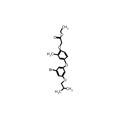 CCOC(=O)COc1ccc(Oc2cc(Br)cc(OCC(C)C)c2)cc1C